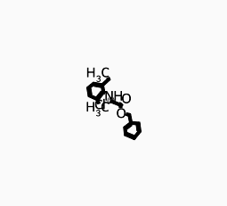 CCc1cccc(Cl)c1N[C@@H](C)C(=O)OCc1ccccc1